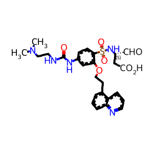 CN(C)CCNC(=O)Nc1ccc(S(=O)(=O)N[C@H](C=O)CC(=O)O)c(OCCc2cccc3ncccc23)c1